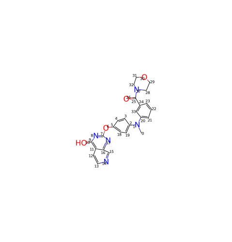 CN(c1ccc(Oc2nc(O)c3ccncc3n2)cc1)c1cccc(C(=O)N2CCOCC2)c1